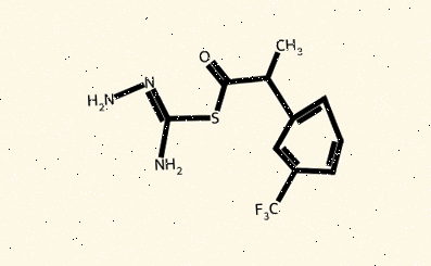 CC(C(=O)SC(N)=NN)c1cccc(C(F)(F)F)c1